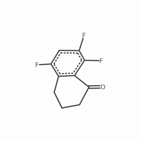 O=C1CCCc2c(F)cc(F)c(F)c21